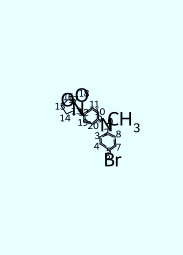 CN(c1ccc(Br)cc1)c1ccc(N2CCOC2=O)cc1